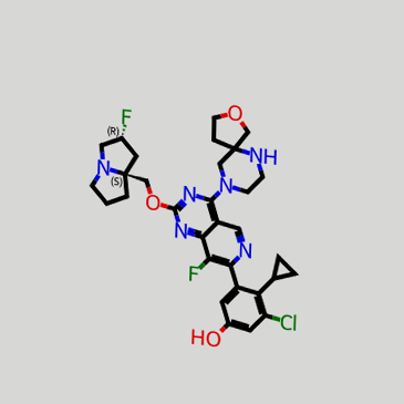 Oc1cc(Cl)c(C2CC2)c(-c2ncc3c(N4CCNC5(CCOC5)C4)nc(OC[C@@]45CCCN4C[C@H](F)C5)nc3c2F)c1